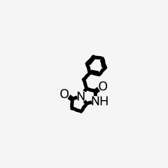 O=C1NC2CCC(=O)N2C1Cc1ccccc1